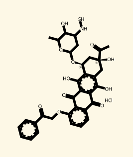 CC(=O)[C@]1(O)Cc2c(O)c3c(c(O)c2[C@@H](OC2CC(NS)C(O)C(C)O2)C1)C(=O)c1c(OCC(=O)c2ccccc2)cccc1C3=O.Cl